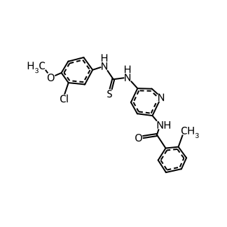 COc1ccc(NC(=S)Nc2ccc(NC(=O)c3ccccc3C)nc2)cc1Cl